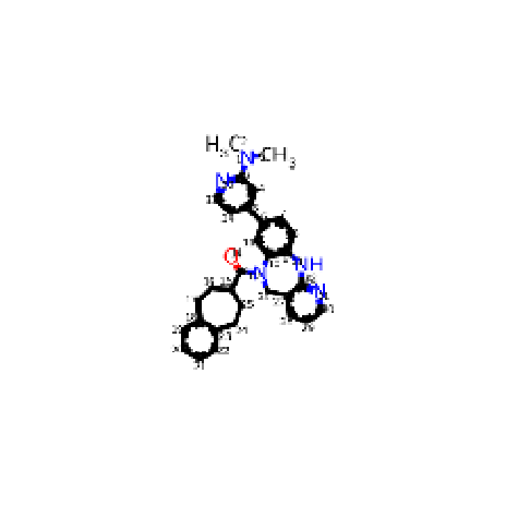 CN(C)c1cc(-c2ccc3c(c2)N(C(=O)C2CCc4ccccc4CC2)Cc2cccnc2N3)ccn1